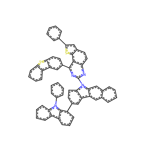 c1ccc(-c2cc3ccc4nc(-n5c6ccc(-c7cccc8c9ccccc9n(-c9ccccc9)c78)cc6c6cc7ccccc7cc65)nc(-c5ccc6sc7ccccc7c6c5)c4c3s2)cc1